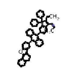 C=CC1=C(/C=C\C)c2ccc(-c3c4ccccc4c(-c4ccc5oc6c7ccccc7ccc6c5c4)c4ccccc34)cc2C1(c1ccccc1)c1ccccc1